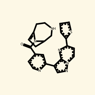 O=C(c1ccnc(-c2cnn3ccc(-c4cccs4)nc23)c1)N1C2=CCC1CNCC2